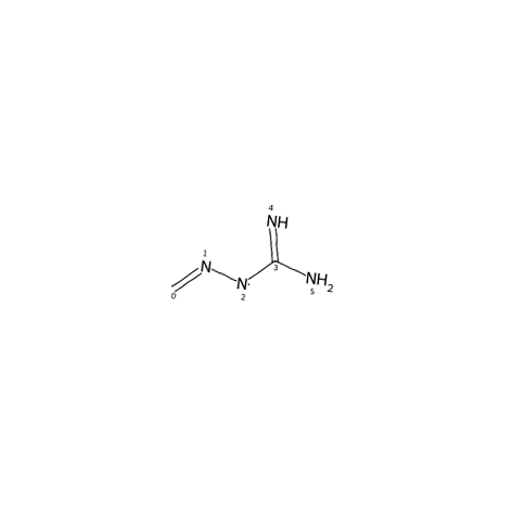 C=N[N]C(=N)N